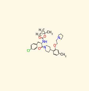 Cc1ccc(C2CCN(C(=O)[C@@H](Cc3ccc(Cl)cc3)NC(=O)OC(C)(C)C)CC2)c(OCCN2CCCC2)c1